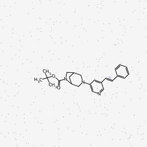 CC(C)(C)OC(=O)N1CC2CC1CN(c1cncc(/C=C/c3ccccc3)c1)C2